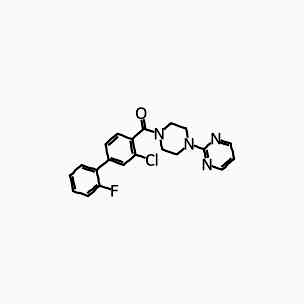 O=C(c1ccc(-c2ccccc2F)cc1Cl)N1CCN(c2ncccn2)CC1